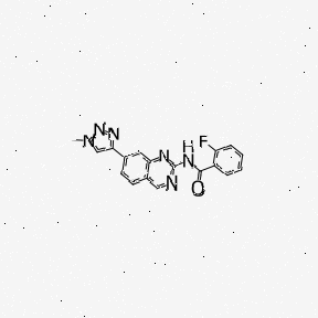 Cn1cc(-c2ccc3cnc(NC(=O)c4ccccc4F)nc3c2)nn1